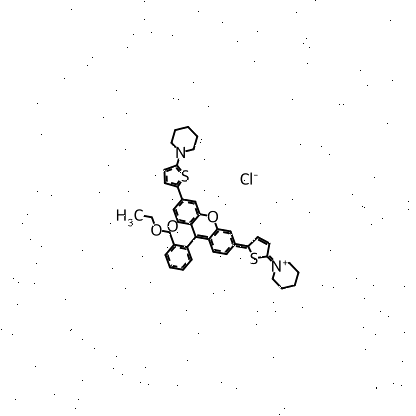 CCOC(=O)c1ccccc1C1=c2cc/c(=C3/C=CC(=[N+]4CCCCC4)S3)cc2Oc2cc(-c3ccc(N4CCCCC4)s3)ccc21.[Cl-]